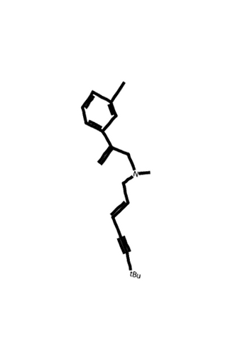 C=C(CN(C)C/C=C/C#CC(C)(C)C)c1cccc(C)c1